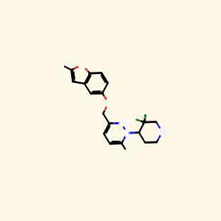 CC1=CC=C(COc2ccc3oc(C)cc3c2)NN1C1CCNCC1(F)F